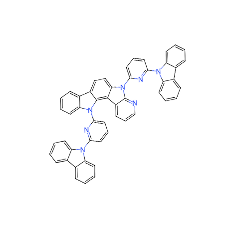 c1cc(-n2c3ccccc3c3ccccc32)nc(-n2c3ccc4c5ccccc5n(-c5cccc(-n6c7ccccc7c7ccccc76)n5)c4c3c3cccnc32)c1